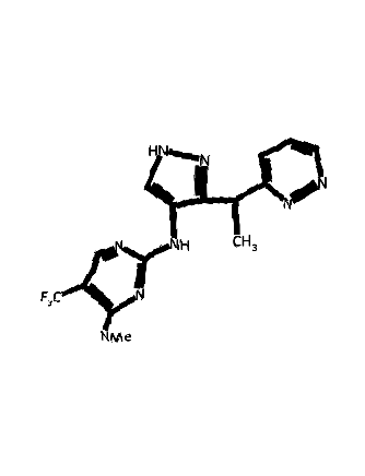 CNc1nc(Nc2c[nH]nc2C(C)c2cccnn2)ncc1C(F)(F)F